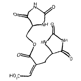 O=C(O)C=C(CC1NC(=O)NC1=O)C(=O)OCC1NC(=O)NC1=O